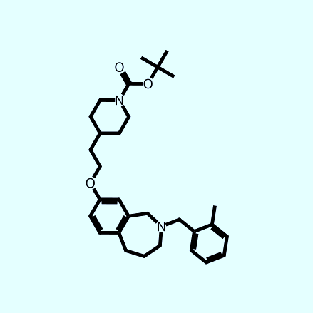 Cc1ccccc1CN1CCCc2ccc(OCCC3CCN(C(=O)OC(C)(C)C)CC3)cc2C1